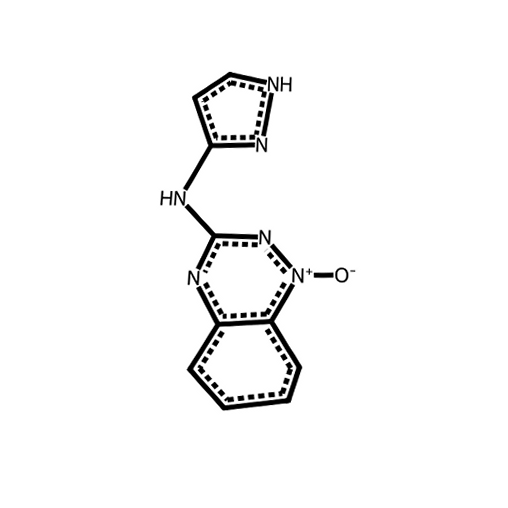 [O-][n+]1nc(Nc2cc[nH]n2)nc2ccccc21